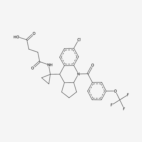 O=C(O)CCC(=O)NC1(C2c3ccc(Cl)cc3N(C(=O)c3cccc(OC(F)(F)F)c3)C3CCCC32)CC1